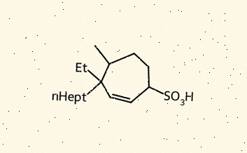 CCCCCCCC1(CC)C=CC(S(=O)(=O)O)CCC1C